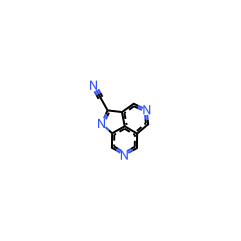 N#CC1=Nc2cncc3cncc1c23